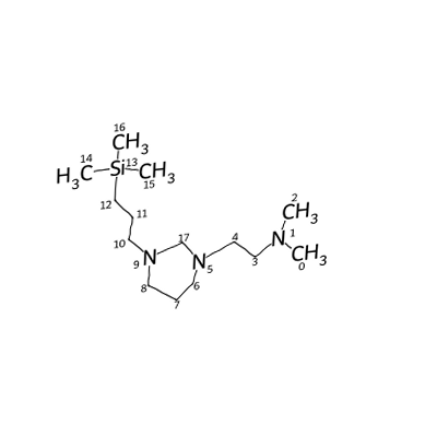 CN(C)CCN1CCCN(CCC[Si](C)(C)C)C1